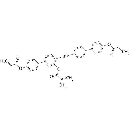 C=CC(=O)Oc1ccc(-c2ccc(C#Cc3ccc(-c4ccc(OC(=O)C=C)cc4)cc3OC(=O)C(=C)C)cc2)cc1